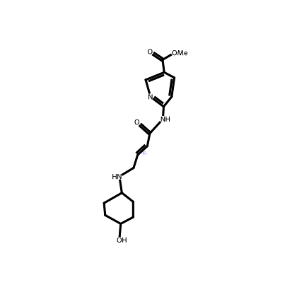 COC(=O)c1ccc(NC(=O)/C=C/CNC2CCC(O)CC2)nc1